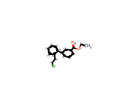 CCOC(=O)c1cccc(-c2ccccc2CCBr)c1